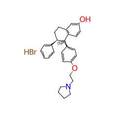 Br.Oc1ccc2c(c1)CC[C@H](c1ccccc1)[C@@H]2c1ccc(OCCN2CCCC2)cc1